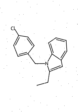 CCc1cc2ccccc2n1Cc1ccc(Cl)cc1